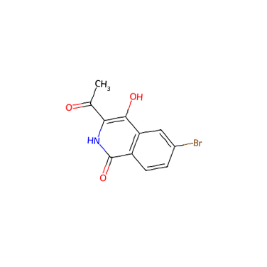 CC(=O)c1[nH]c(=O)c2ccc(Br)cc2c1O